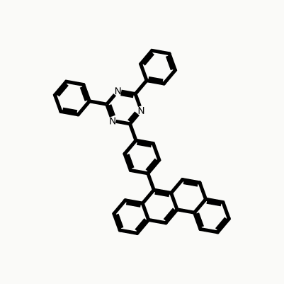 c1ccc(-c2nc(-c3ccccc3)nc(-c3ccc(-c4c5ccccc5cc5c4ccc4ccccc45)cc3)n2)cc1